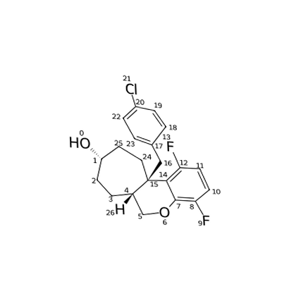 O[C@H]1CC[C@H]2COc3c(F)ccc(F)c3[C@@]2(Cc2ccc(Cl)cc2)CC1